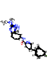 CC(C)N(C)c1nc2ccc(NC(=O)c3ccc(-c4ccc(F)cc4)cn3)cc2[nH]1